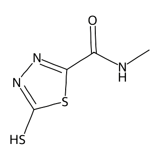 CNC(=O)c1nnc(S)s1